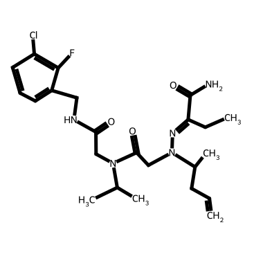 C=CCC(C)N(CC(=O)N(CC(=O)NCc1cccc(Cl)c1F)C(C)C)/N=C(\CC)C(N)=O